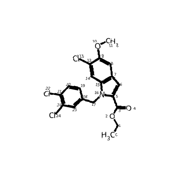 CCOC(=O)c1cc2cc(OC)c(Cl)cc2n1Cc1ccc(Cl)c(Cl)c1